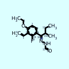 C=Cc1c(OCC)ccc(/C(=N/NC=O)C(C)CC)c1F